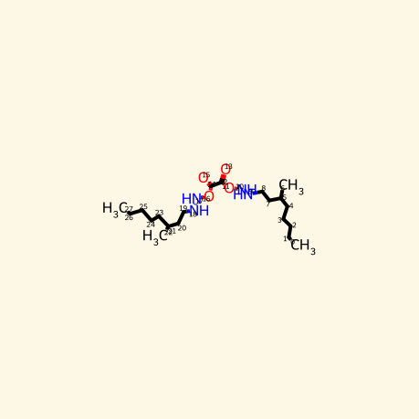 CCCCCC(C)CCNNOC(=O)C(=O)ONNCCC(C)CCCCC